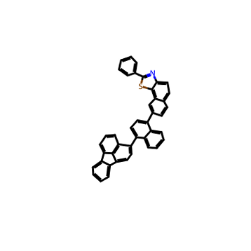 c1ccc(-c2nc3ccc4ccc(-c5ccc(-c6ccc7c8c(cccc68)-c6ccccc6-7)c6ccccc56)cc4c3s2)cc1